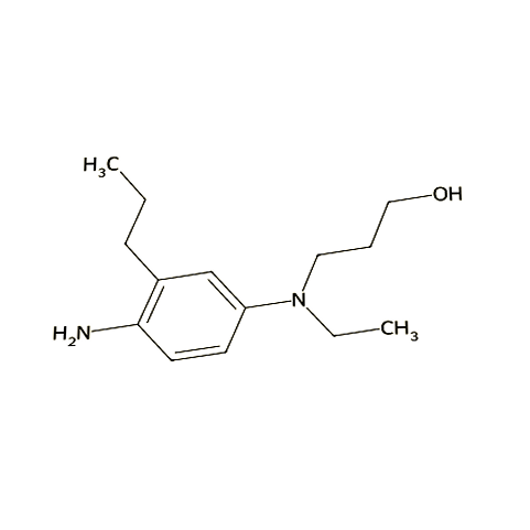 CCCc1cc(N(CC)CCCO)ccc1N